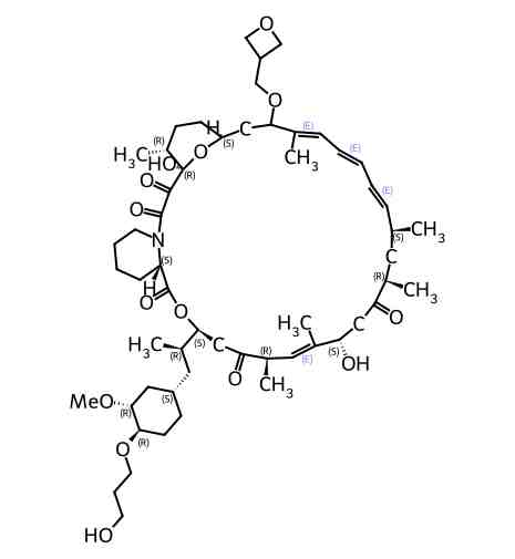 CO[C@@H]1C[C@H](C[C@@H](C)[C@@H]2CC(=O)[C@H](C)/C=C(\C)[C@@H](O)CC(=O)[C@H](C)C[C@H](C)/C=C/C=C/C=C(\C)C(OCC3COC3)C[C@@H]3CC[C@@H](C)[C@@](O)(O3)C(=O)C(=O)N3CCCC[C@H]3C(=O)O2)CC[C@H]1OCCCO